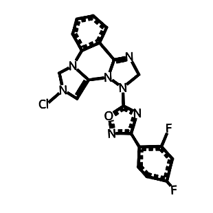 Fc1ccc(-c2noc(N3CN=C4c5ccccc5N5CN(Cl)C=C5N43)n2)c(F)c1